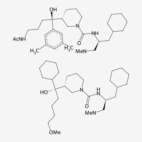 CNC[C@H](CC1CCCCC1)NC(=O)N1CCC[C@@H]([C@@](O)(CCCCOC)C2CCCCC2)C1.CNC[C@H](CC1CCCCC1)NC(=O)N1CCC[C@@H]([C@@](O)(CCCNC(C)=O)c2cc(C)cc(C)c2)C1